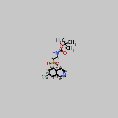 CC(C)(C)OC(=O)NCCS(=O)(=O)c1cc(Cl)cc2cnccc12